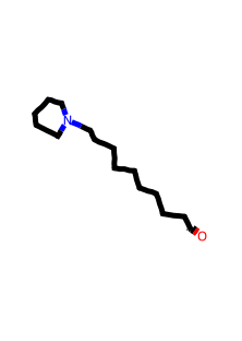 O=[C]CCCCCCCCCN1CCCCC1